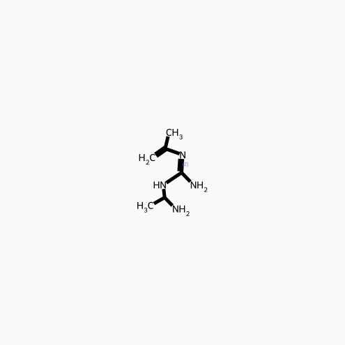 C=C(C)/N=C(/N)NC(C)N